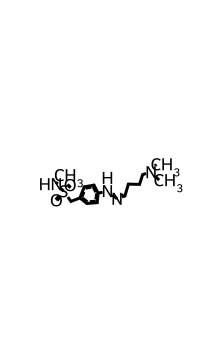 CNS(=O)(=O)Cc1ccc(N/N=C\CCCN(C)C)cc1